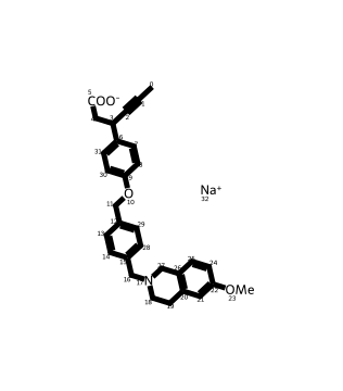 CC#CC(CC(=O)[O-])c1ccc(OCc2ccc(CN3CCc4cc(OC)ccc4C3)cc2)cc1.[Na+]